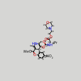 COC(=O)C1=C(C)NC(C)=C(OC(=O)N[C@H](C(=O)OCCN2CCOCC2)C(C)C)[C@H]1c1cccc([N+](=O)[O-])c1